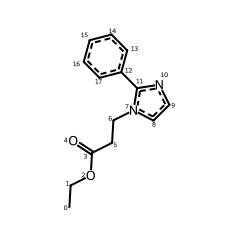 CCOC(=O)CCn1ccnc1-c1ccccc1